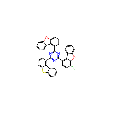 Clc1ccc(-c2nc(-c3cccc4oc5ccccc5c34)nc(-c3cccc4sc5ccccc5c34)n2)c2c1oc1ccccc12